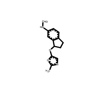 Cc1ncc(OC2CCc3ccc(NC=O)cc32)o1